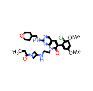 C=CC(=O)N1CC(NCCn2c(=O)c(-c3cc(OC)cc(OC)c3Cl)cc3cnc(NCC4CCOCC4)nc32)C1